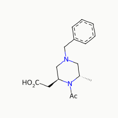 CC(=O)N1[C@@H](CC(=O)O)CN(Cc2ccccc2)C[C@@H]1C